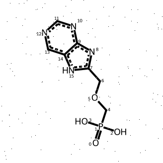 O=P(O)(O)COCc1nc2ncncc2[nH]1